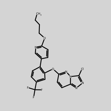 CCCCOc1ccc(-c2ccc(C(F)(F)F)cc2Oc2ccc3nnc(Cl)n3n2)cn1